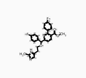 COC(=O)c1ccc(C(OCCc2cnc(C)[nH]2)c2ccc(F)cc2)nc1-c1ccc(F)cc1